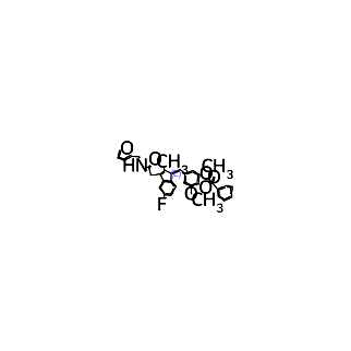 COc1cc(/C=C2/C(C)=C(CC(=O)NCc3ccco3)c3cc(F)ccc32)cc(OC)c1OC(=O)c1ccccc1